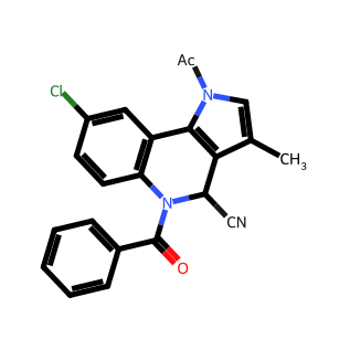 CC(=O)n1cc(C)c2c1-c1cc(Cl)ccc1N(C(=O)c1ccccc1)C2C#N